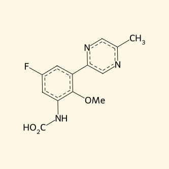 COc1c(NC(=O)O)cc(F)cc1-c1cnc(C)cn1